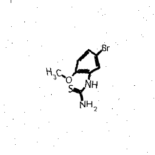 COc1ccc(Br)cc1NC(N)=S